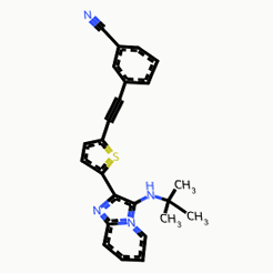 CC(C)(C)Nc1c(-c2ccc(C#Cc3cccc(C#N)c3)s2)nc2ccccn12